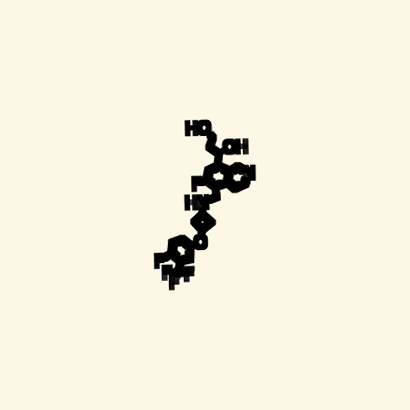 OCC[C@H](O)c1cc(F)c(CNC2CC(Oc3ccc(F)c(C(F)(F)F)c3)C2)c2ccncc12